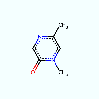 Cc1[c]n(C)c(=O)cn1